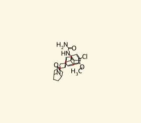 COc1cc(C=CC(=O)N2C3CCC2CN(Cc2ccc(F)cc2)C3)c(NC(N)=O)cc1Cl